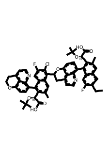 CCc1cc2cc(C)c([C@H](OC(C)(C)C)C(=O)O)c(-c3ccc4c5c(ccnc35)CC(c3c(Cl)c(F)cc5c(-c6ccc7c8c(ccnc68)CCO7)c([C@H](OC(C)(C)C)C(=O)O)c(C)cc35)O4)c2cc1F